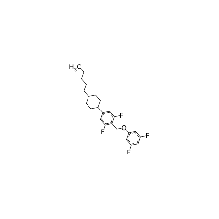 CCCCCC1CCC(c2cc(F)c(COc3cc(F)cc(F)c3)c(F)c2)CC1